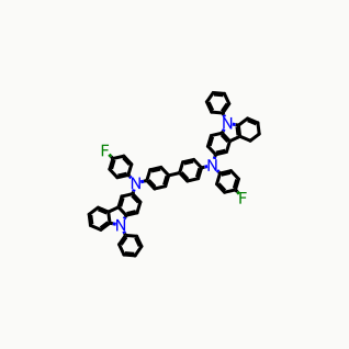 Fc1ccc(N(c2ccc(-c3ccc(N(c4ccc(F)cc4)c4ccc5c(c4)c4ccccc4n5-c4ccccc4)cc3)cc2)c2ccc3c(c2)c2c(n3-c3ccccc3)C=CCC2)cc1